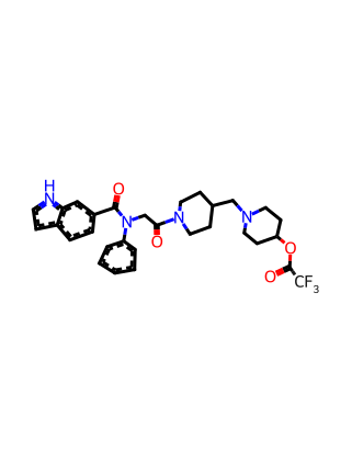 O=C(CN(C(=O)c1ccc2cc[nH]c2c1)c1ccccc1)N1CCC(CN2CCC(OC(=O)C(F)(F)F)CC2)CC1